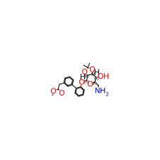 COC(=O)Cc1cccc(-c2ccccc2O[C@H]2O[C@H](CN)[C@@H](O)[C@@H]3OC(C)(C)O[C@H]23)c1